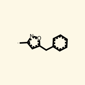 [CH2]c1cc(Cc2ccccc2)on1